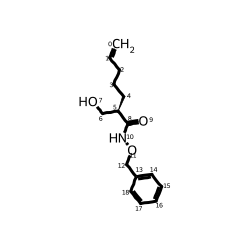 C=CCCC[C@H](CO)C(=O)NOCc1ccccc1